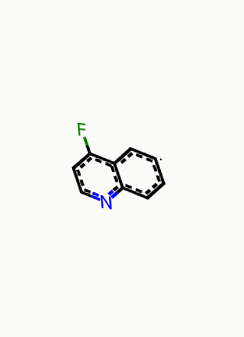 Fc1ccnc2cc[c]cc12